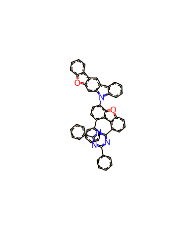 c1ccc(-c2nc(-c3ccccc3)nc(-c3cccc4oc5c(-n6c7ccccc7c7cc8c(cc76)oc6ccccc68)ccc(-c6ccccc6)c5c34)n2)cc1